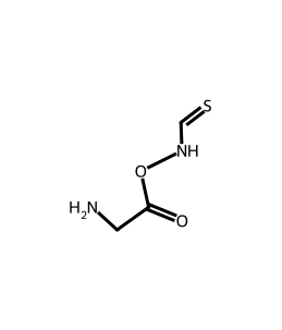 NCC(=O)ONC=S